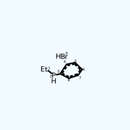 Br.CCPc1ccccc1